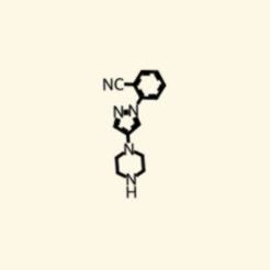 N#Cc1ccccc1-n1cc(N2CCNCC2)cn1